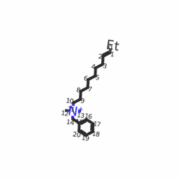 CC/C=C/CCCCCCCC[N+](C)(C)Cc1ccccc1